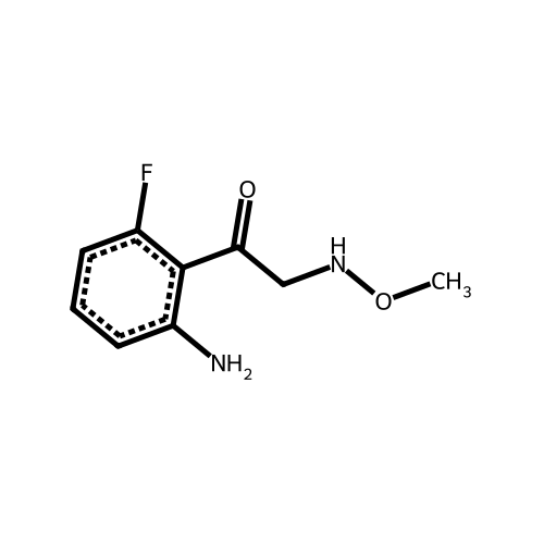 CONCC(=O)c1c(N)cccc1F